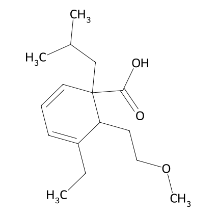 CCC1=CC=CC(CC(C)C)(C(=O)O)C1CCOC